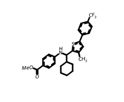 COC(=O)c1ccc(NC(c2sc(-c3ccc(C(F)(F)F)cc3)cc2C)C2CCCCC2)cc1